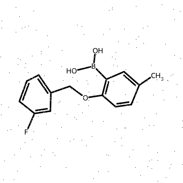 Cc1ccc(OCc2cccc(F)c2)c(B(O)O)c1